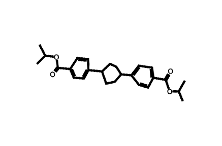 CC(C)OC(=O)c1ccc(C2CCC(c3ccc(C(=O)OC(C)C)cc3)CC2)cc1